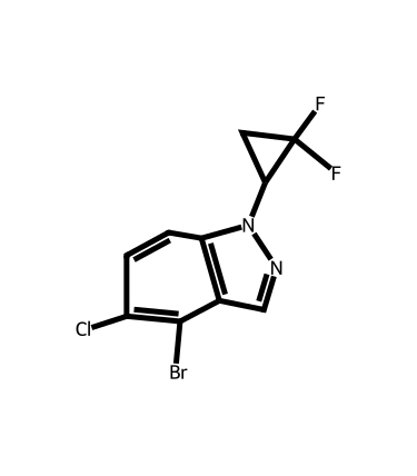 FC1(F)CC1n1ncc2c(Br)c(Cl)ccc21